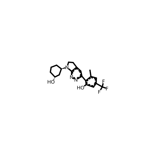 Cc1cc(C(F)(F)F)cc(O)c1-c1cc2c(nn1)N([C@@H]1CCC[C@@H](O)C1)CC2